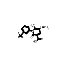 CBc1cc(C(=O)O)c(=O)n(-c2cccc(C(F)(F)F)c2)c1C